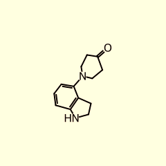 O=C1CCN(c2cccc3c2CCN3)CC1